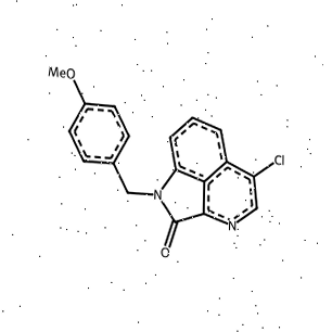 COc1ccc(CN2C(=O)c3ncc(Cl)c4cccc2c34)cc1